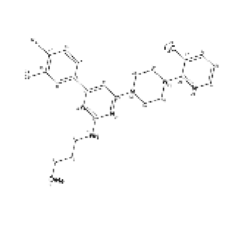 COCCCNc1nc(-c2ccc(F)c(Cl)c2)cc(N2CCN(c3ncccc3C(F)(F)F)CC2)n1